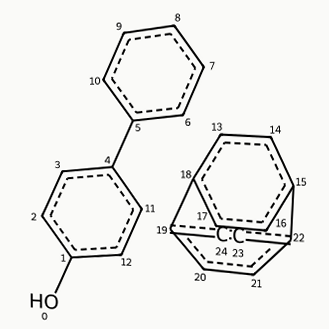 Oc1ccc(-c2ccccc2)cc1.c1cc2ccc1-c1ccc-2cc1